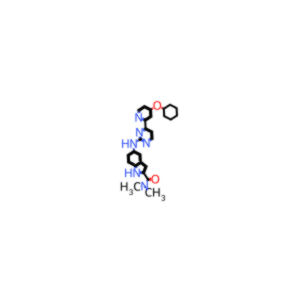 CN(C)C(=O)c1cc2cc(Nc3nccc(-c4cc(OC5CCCCC5)ccn4)n3)ccc2[nH]1